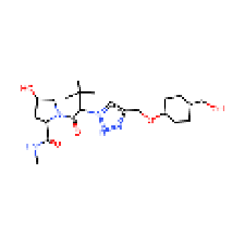 CNC(=O)C1CC(O)CN1C(=O)C(n1cc(COC2CCC(CO)CC2)nn1)C(C)(C)C